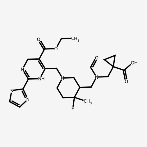 CCOC(=O)C1=C(CN2CCC(C)(F)C(CN(C=O)CC3(C(=O)O)CC3)C2)NC(c2nccs2)=NC1